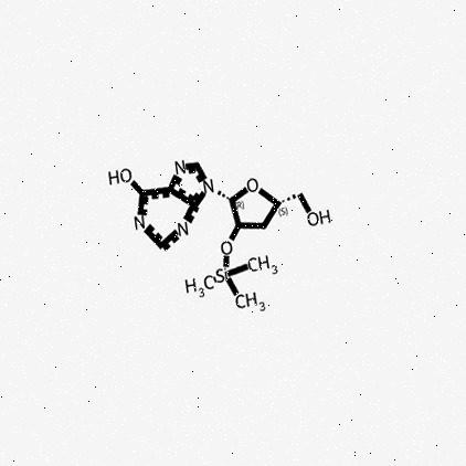 C[Si](C)(C)OC1C[C@@H](CO)O[C@H]1n1cnc2c(O)ncnc21